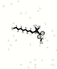 CCCCCCCC=CC1C(C(=O)OCC)C1(C)C